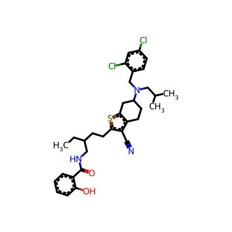 CCC(CCc1sc2c(c1C#N)CCC(N(Cc1ccc(Cl)cc1Cl)CC(C)C)C2)CNC(=O)c1ccccc1O